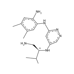 Cc1cc(N)c(Nc2cc(N[C@H](CN)C(C)C)cnn2)cc1C